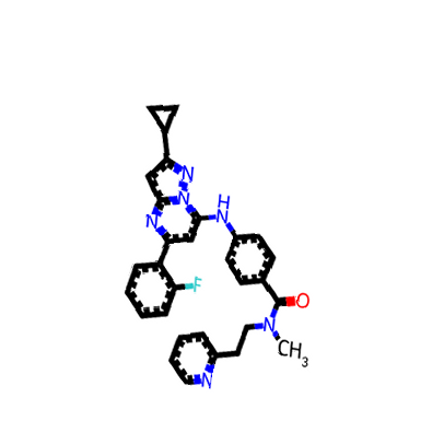 CN(CCc1ccccn1)C(=O)c1ccc(Nc2cc(-c3ccccc3F)nc3cc(C4CC4)nn23)cc1